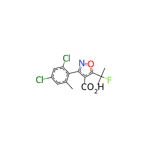 Cc1cc(Cl)cc(Cl)c1-c1noc(C(C)(C)F)c1C(=O)O